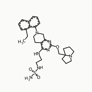 CCc1cccc2cccc(N3CCc4c(nc(OCC56CCCN5CCC6)nc4NCCNS(N)(=O)=O)C3)c12